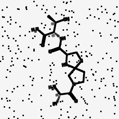 CC(C)[C@H](N)C(=O)N1CCC2(C1)NC(C(=O)N[C@H](C(N)=O)[C@@H](C)O)CS2